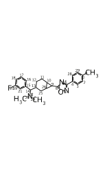 Cc1ccc(-c2noc(C3C4CCC(C(c5cccc(F)c5)N(C)C)CC43)n2)cc1